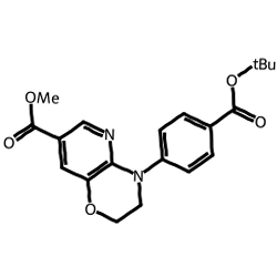 COC(=O)c1cnc2c(c1)OCCN2c1ccc(C(=O)OC(C)(C)C)cc1